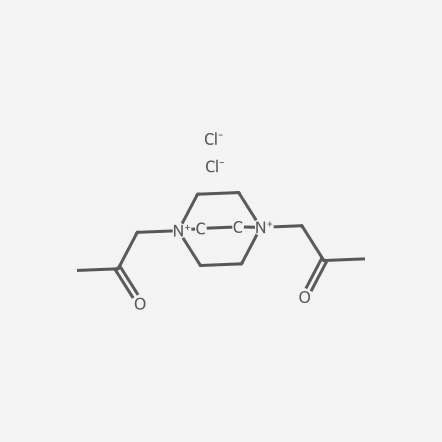 CC(=O)C[N+]12CC[N+](CC(C)=O)(CC1)CC2.[Cl-].[Cl-]